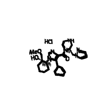 COC[C@]1(O)CCCC[C@H]1n1cnc(C(=O)N2CCNC[C@H]2Cn2cccn2)c1-c1ccccc1.Cl